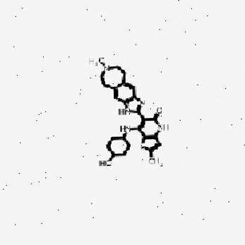 Cc1cc2[nH]c(=O)c(-c3nc4cc5c(cc4[nH]3)CCN(C)CC5)c(NC3CCC(O)CC3)c2s1